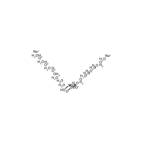 O.O.O.O.O.O.O.O.O.O.O.O.O.O.O.O.O.O.O.O.O=C([O-])[O-].O=S(=O)(O)O.[Na+].[Na+]